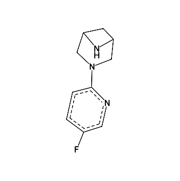 Fc1ccc(N2CC3CC(C2)N3)nc1